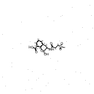 CS(=O)(=O)CCC(=O)NC1Cc2cccc(C(=O)O)c2OB1O